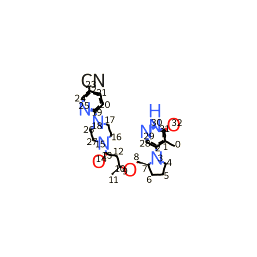 Cc1c(N2CCC[C@H]2CO[C@@H](C)CC(=O)N2CCN(c3ccc(C#N)cn3)CC2)cn[nH]c1=O